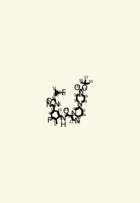 Cc1c(F)cc(-c2noc([C@@H]3C[C@H]3F)n2)cc1NC(=O)c1cnc2ccc(N3CCN(C(=O)OC(C)(C)C)CC3)cn12